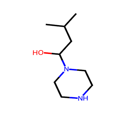 CC(C)CC(O)N1CCNCC1